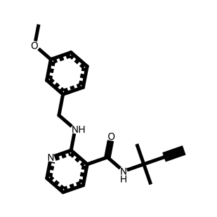 C#CC(C)(C)NC(=O)c1cccnc1NCc1cccc(OC)c1